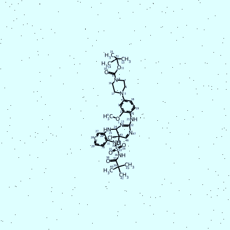 COc1cc(N2CCN(C(=O)OC(C)(C)C)CC2)ccc1NC1=NC(Nc2ccccc2NS(=O)(=O)NC(=O)C(C)(C)C)C(Cl)(Cl)C=N1